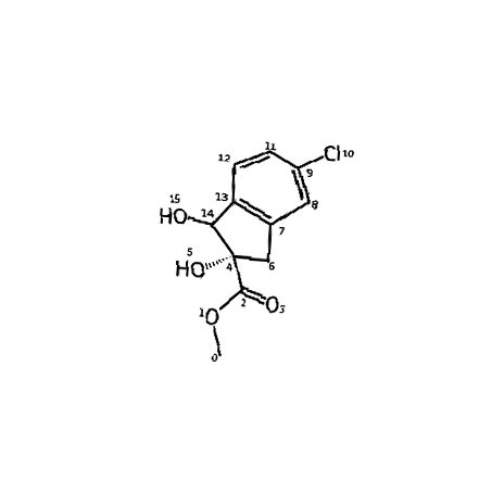 COC(=O)[C@]1(O)Cc2cc(Cl)ccc2C1O